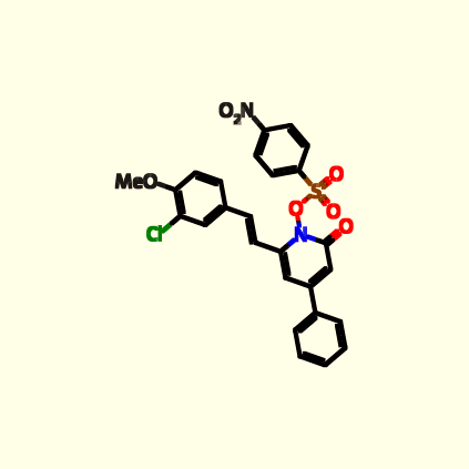 COc1ccc(C=Cc2cc(-c3ccccc3)cc(=O)n2OS(=O)(=O)c2ccc([N+](=O)[O-])cc2)cc1Cl